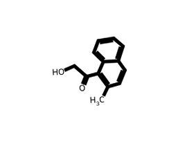 Cc1ccc2ccccc2c1C(=O)CO